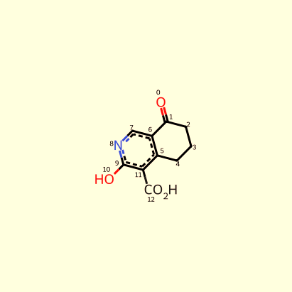 O=C1CCCc2c1cnc(O)c2C(=O)O